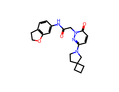 O=C(Cn1nc(N2CCC3(CCC3)C2)ccc1=O)Nc1ccc2c(c1)OCC2